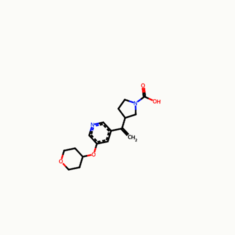 C=C(c1cncc(OC2CCOCC2)c1)C1CCN(C(=O)O)C1